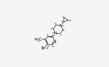 Cc1cc(N2CCN(C3CC3)CC2)ncc1Br